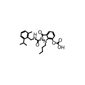 CCCCn1c2c(OC(=O)O)cccc2c(=O)n1C(=O)NCc1c(C)cccc1C(C)C